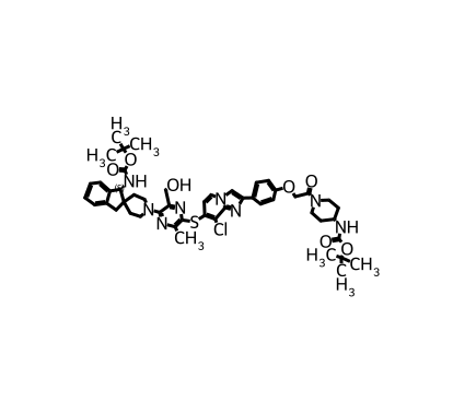 Cc1nc(N2CCC3(CC2)Cc2ccccc2[C@H]3NC(=O)OC(C)(C)C)c(CO)nc1Sc1ccn2cc(-c3ccc(OCC(=O)N4CCC(NC(=O)OC(C)(C)C)CC4)cc3)nc2c1Cl